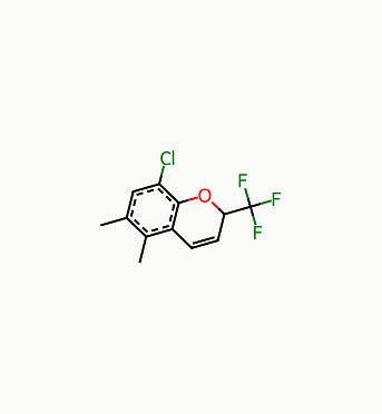 Cc1cc(Cl)c2c(c1C)C=CC(C(F)(F)F)O2